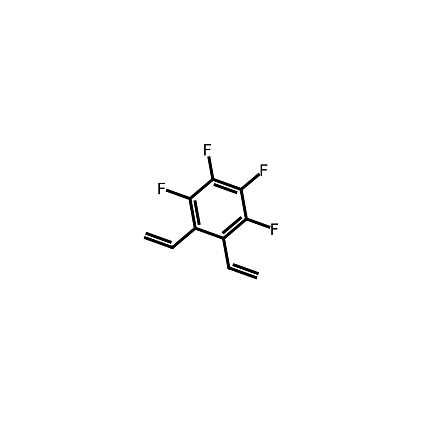 C=Cc1c(F)c(F)c(F)c(F)c1C=C